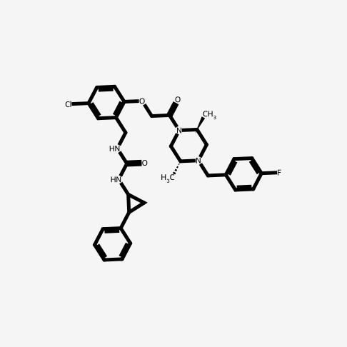 C[C@@H]1CN(C(=O)COc2ccc(Cl)cc2CNC(=O)NC2CC2c2ccccc2)[C@@H](C)CN1Cc1ccc(F)cc1